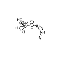 CN(C)CCNc1cc(CNC(=O)c2cccc3cc(N(CC(=O)O)S(=O)(=O)c4cc(Cl)cc(Cl)c4)ccc23)ccn1